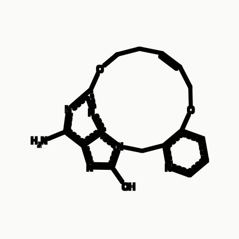 Nc1nc2nc3c1nc(O)n3Cc1ncccc1OC/C=C\CCO2